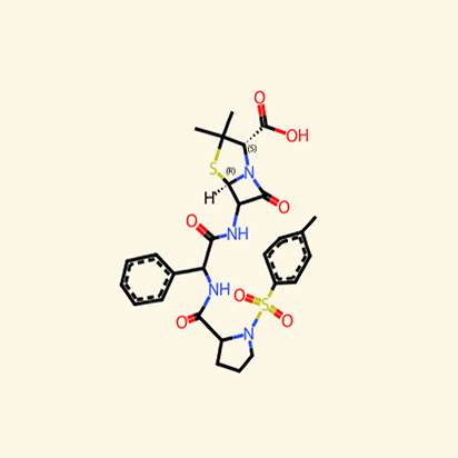 Cc1ccc(S(=O)(=O)N2CCCC2C(=O)NC(C(=O)NC2C(=O)N3[C@@H]2SC(C)(C)[C@@H]3C(=O)O)c2ccccc2)cc1